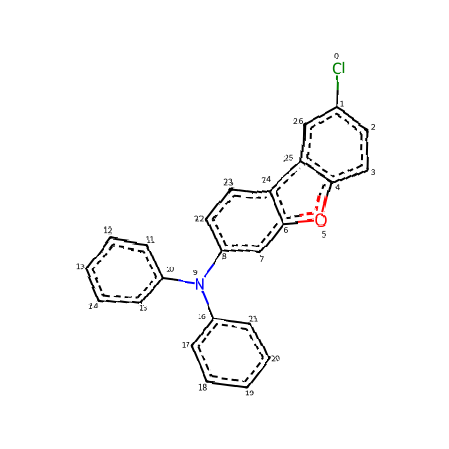 Clc1ccc2oc3cc(N(c4ccccc4)c4ccccc4)ccc3c2c1